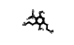 Nc1cc(CCO)c(N)c(CCO)c1[N+](=O)[O-]